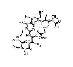 CCCC(=O)N(C)[C@H](CSCC(=O)OC)C(=O)N(C)[C@](C=O)(CC(C)C)N[C@@H](C(=O)N(C)[C@@H](CCC(C)C)C(=O)NC(=O)C(C)NC(=O)N(C)[C@@H](CC(C)C)C(=O)NC)C(C)C